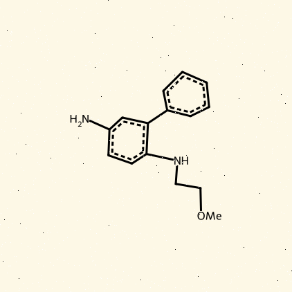 COCCNc1ccc(N)cc1-c1ccccc1